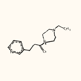 CCN1CCN(C(=O)CCc2cccnc2)CC1